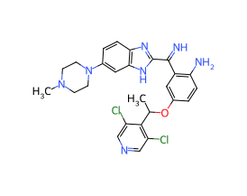 CC(Oc1ccc(N)c(C(=N)c2nc3ccc(N4CCN(C)CC4)cc3[nH]2)c1)c1c(Cl)cncc1Cl